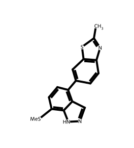 CSc1ccc(-c2ccc3nc(C)sc3c2)c2cn[nH]c12